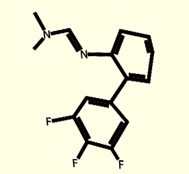 CN(C)C=Nc1ccccc1-c1cc(F)c(F)c(F)c1